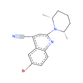 C[C@@H]1CCC[C@H](C)N1c1cc(C#N)c2cc(Br)ccc2n1